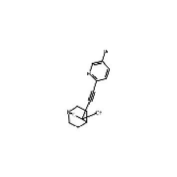 OC1(C#Cc2ccc(Br)cn2)CN2CCC1CC2